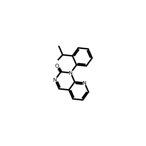 CC(C)c1ccccc1-n1c(=O)ncc2cccnc21